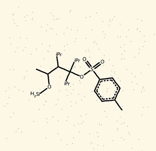 Cc1ccc(S(=O)(=O)OC(C(C)C)(C(C)C)C(C(C)C)C(C)O[SiH3])cc1